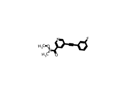 CON(C)C(=O)c1cncc(C#Cc2cccc(F)c2)c1